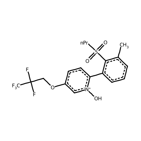 CCCS(=O)(=O)c1c(C)cccc1-c1ccc(OCC(F)(F)C(F)(F)F)c[n+]1O